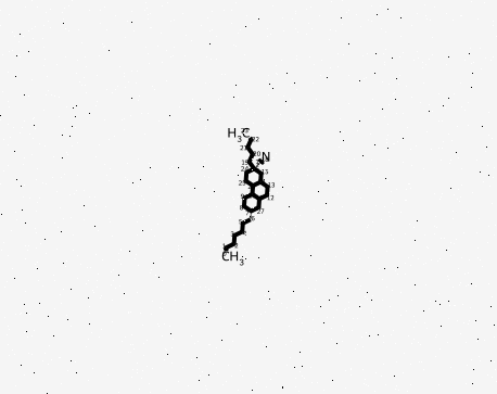 CCCCCCC[C@@H]1CCC2C(CCC3C[C@](C#N)(CCCCC)CCC32)C1